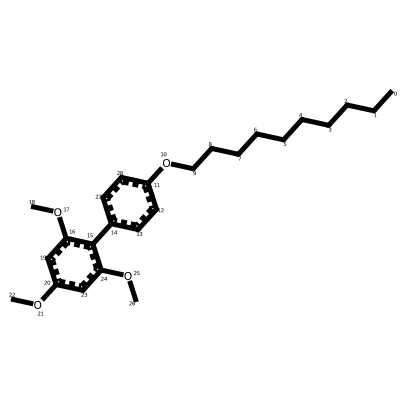 CCCCCCCCCCOc1ccc(-c2c(OC)cc(OC)cc2OC)cc1